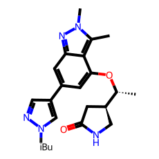 CCC(C)n1cc(-c2cc(O[C@H](C)[C@H]3CNC(=O)C3)c3c(C)n(C)nc3c2)cn1